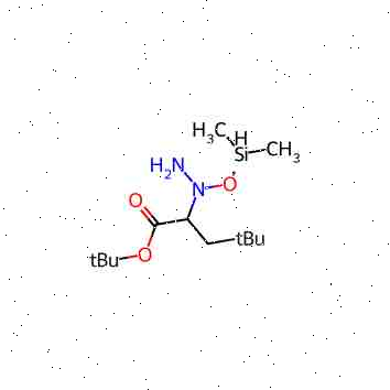 C[SiH](C)ON(N)C(CC(C)(C)C)C(=O)OC(C)(C)C